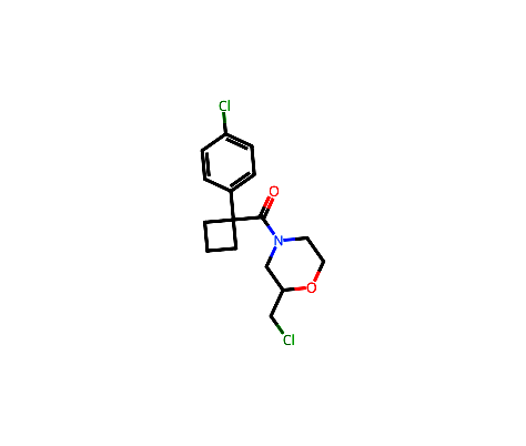 O=C(N1CCOC(CCl)C1)C1(c2ccc(Cl)cc2)CCC1